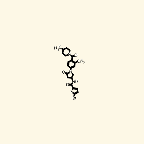 Cc1cc(N2CC(NC(=O)c3ccc(Br)s3)CC2=O)ccc1C(=O)N1CCC(C)CC1